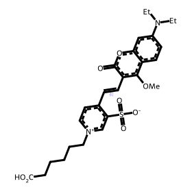 CCN(CC)c1ccc2c(OC)c(/C=C/c3cc[n+](CCCCCC(=O)O)cc3S(=O)(=O)[O-])c(=O)oc2c1